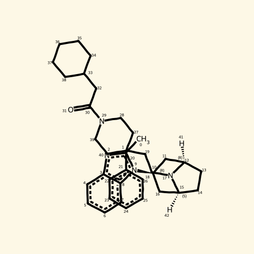 Cc1nc2ccccc2n1[C@H]1C[C@H]2CC[C@@H](C1)N2CCC1(c2ccccc2)CCN(C(=O)CC2CCCCC2)CC1